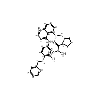 CC(O)C(=O)N1CCC[C@H]1COc1cccc2ncnc(Nc3ccc(OCc4ccccn4)c(Cl)c3)c12